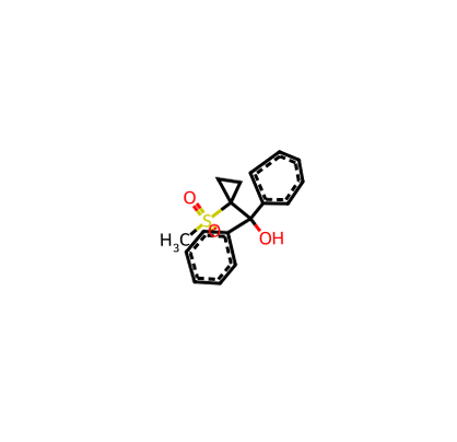 CS(=O)(=O)C1(C(O)(c2ccccc2)c2ccccc2)CC1